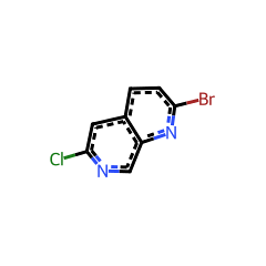 Clc1cc2ccc(Br)nc2cn1